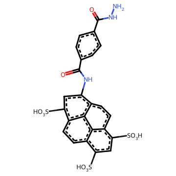 NNC(=O)c1ccc(C(=O)Nc2cc(S(=O)(=O)O)c3ccc4c(S(=O)(=O)O)cc(S(=O)(=O)O)c5ccc2c3c54)cc1